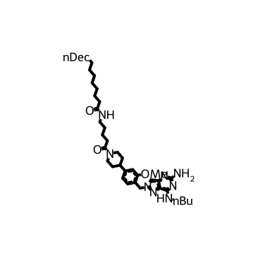 CCCCCCCCCCCCCCCCCC(=O)NCCCCC(=O)N1CCC(c2ccc(Cn3cc4nc(N)nc(NCCCC)c4n3)c(OC)c2)CC1